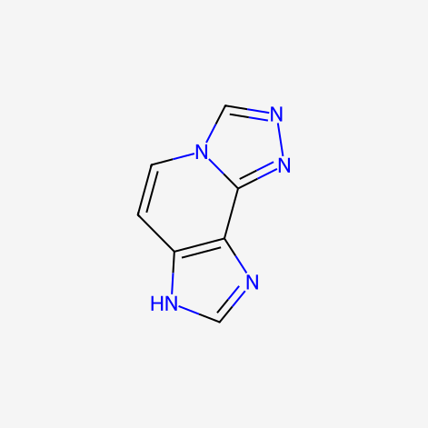 c1nc2c(ccn3cnnc23)[nH]1